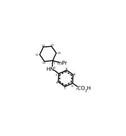 CCCC1(Nc2ccc(C(=O)O)cc2)CCCCC1